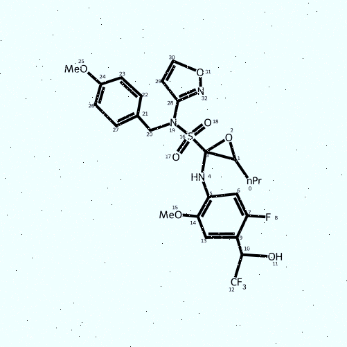 CCCC1OC1(Nc1cc(F)c(C(O)C(F)(F)F)cc1OC)S(=O)(=O)N(Cc1ccc(OC)cc1)c1ccon1